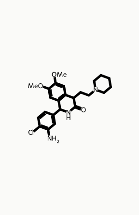 COc1cc2c(cc1OC)C(c1ccc(Cl)c(N)c1)NC(=O)C2CCN1CCCCC1